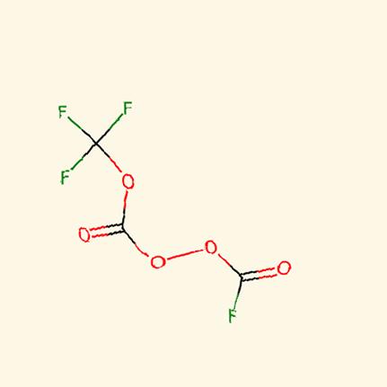 O=C(F)OOC(=O)OC(F)(F)F